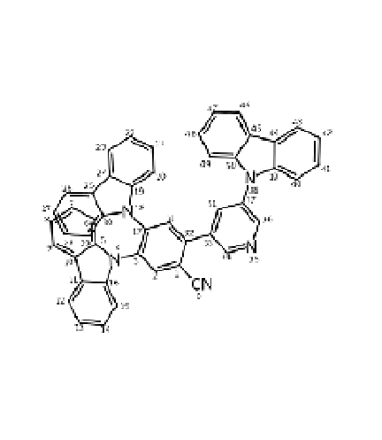 N#Cc1cc(-n2c3ccccc3c3ccccc32)c(-n2c3ccccc3c3ccccc32)cc1-c1cncc(-n2c3ccccc3c3ccccc32)c1